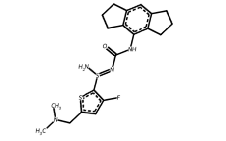 CN(C)Cc1cc(F)c(/S(N)=N/C(=O)Nc2c3c(cc4c2CCC4)CCC3)s1